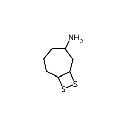 NC1CCCC2SSC2C1